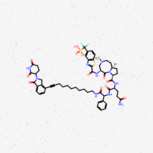 CN1CC[C@H]2CC[C@@H](C(=O)NC(CCC(N)=O)C(=O)NC(C(=O)NCCCCCCCCCC#Cc3cccc4c3CN(C3CCC(=O)NC3=O)C4=O)c3ccccc3)N2C(=O)[C@@H](NC(=O)c2nc3cc(C(F)(F)P(=O)(O)O)ccc3s2)C1